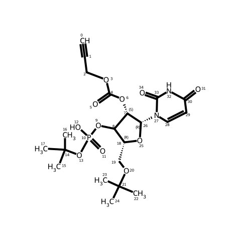 C#CCOC(=O)O[C@H]1C(OP(=O)(O)OC(C)(C)C)[C@@H](COC(C)(C)C)O[C@H]1n1ccc(=O)[nH]c1=O